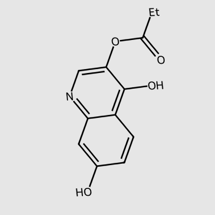 CCC(=O)Oc1cnc2cc(O)ccc2c1O